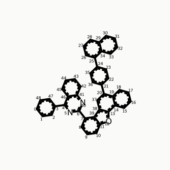 c1ccc(-c2nc(-c3cccc4oc5c6ccccc6c(-c6ccc(-c7cccc8ccccc78)cc6)cc5c34)nc3ccccc23)cc1